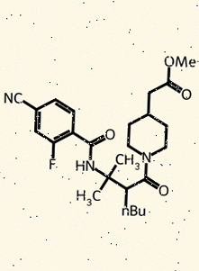 CCCCC(C(=O)N1CCC(CC(=O)OC)CC1)C(C)(C)NC(=O)c1ccc(C#N)cc1F